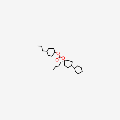 CCCC[C@]1(OC(=O)OC2CCC(CCC)CC2)CC[C@@H](C2CCCCC2)CC1